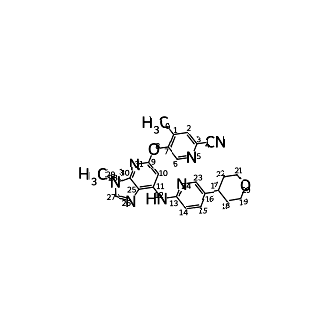 Cc1cc(C#N)ncc1Oc1cc(Nc2ccc(C3CCOCC3)cn2)c2ncn(C)c2n1